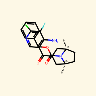 Nc1c(C(=O)C2C[C@H]3CC[C@@H](C2)N3C(=O)OCc2ccccc2)cnc(Cl)c1F